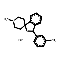 Br.Cc1cccc(C2SC3(CCN(C)CC3)c3ccccc32)c1